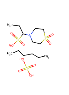 CCC(N1CCS(=O)(=O)CC1)S(=O)(=O)O.CCCCCC.O=S(=O)(O)O